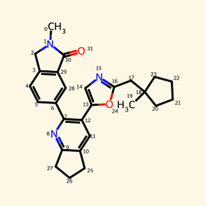 CN1Cc2ccc(-c3nc4c(cc3-c3cnc(CC5(C)CCCC5)o3)CCC4)cc2C1=O